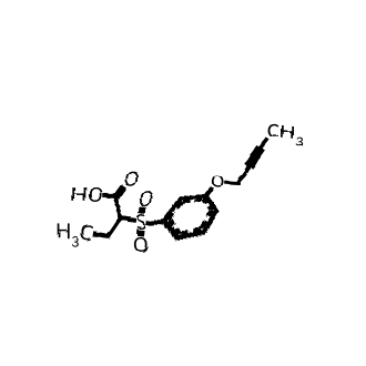 CC#CCOc1cccc(S(=O)(=O)C(CC)C(=O)O)c1